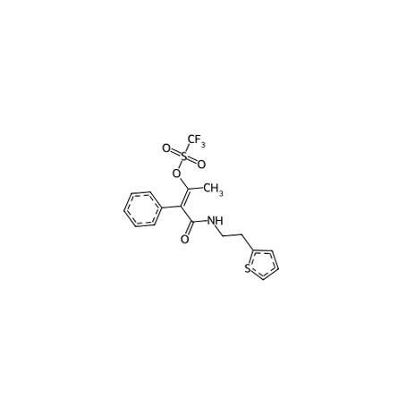 C/C(OS(=O)(=O)C(F)(F)F)=C(\C(=O)NCCc1cccs1)c1ccccc1